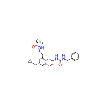 CC(=O)NCCc1cc(CC2CC2)cc2ccc(NC(=O)NCc3ccccc3)cc12